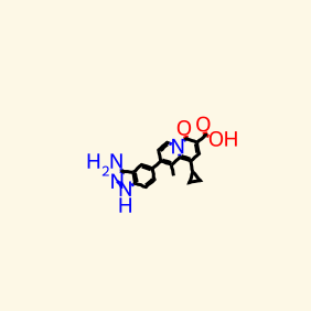 Cc1c(-c2ccc3[nH]nc(N)c3c2)ccn2c(=O)c(C(=O)O)cc(C3CC3)c12